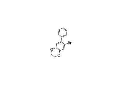 Brc1cc2c(cc1-c1ccccc1)OCCO2